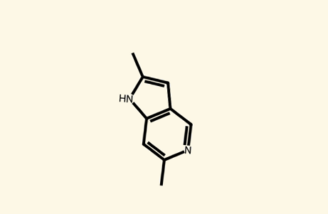 Cc1cc2[nH]c(C)cc2cn1